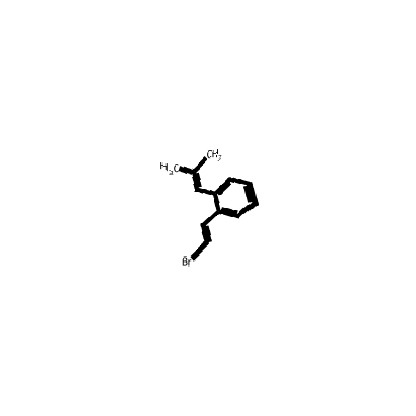 CC(C)=Cc1ccccc1/C=C/Br